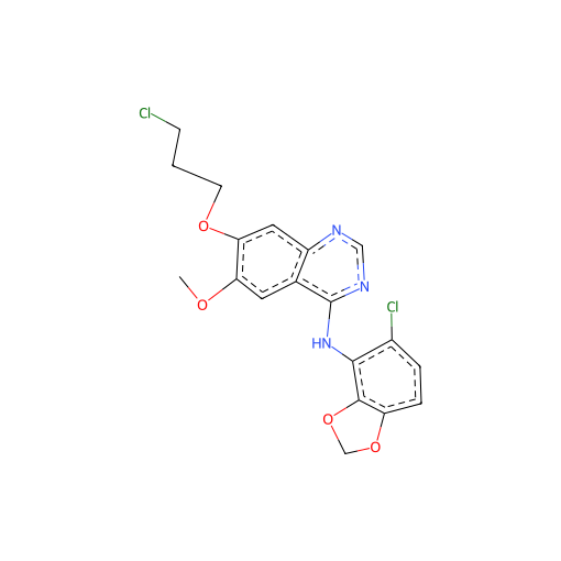 COc1cc2c(Nc3c(Cl)ccc4c3OCO4)ncnc2cc1OCCCCl